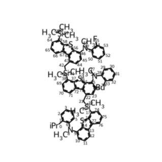 CC(C)c1ccccc1N(C)c1cccc2c1sc1c([Si](C)(C)Cc3ccc(N(C)c4ccccc4C(C)(C)C)c4sc5c([Si](C)(C)Cc6ccc(N(C)c7ccccc7F)c7sc8c([Si](C)(C)C)cccc8c67)cccc5c34)cccc12